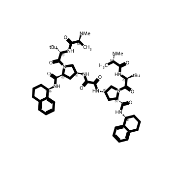 CN[C@@H](C)C(=O)N[C@H](C(=O)N1C[C@@H](NC(=O)C(=O)N[C@H]2C[C@@H](C(=O)N[C@@H]3CCCc4ccccc43)N(C(=O)[C@@H](NC(=O)[C@H](C)NC)C(C)(C)C)C2)C[C@H]1C(=O)N[C@@H]1CCCc2ccccc21)C(C)(C)C